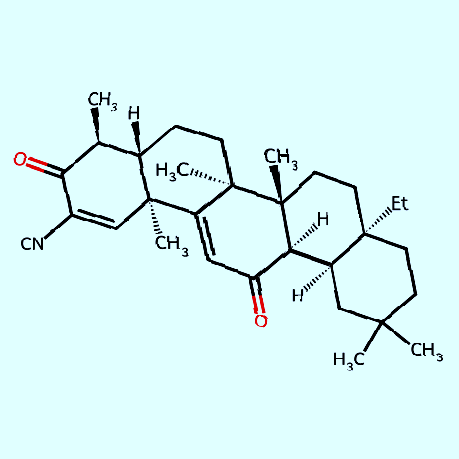 [C-]#[N+]C1=C[C@]2(C)C3=CC(=O)[C@@H]4[C@@H]5CC(C)(C)CC[C@]5(CC)CC[C@@]4(C)[C@]3(C)CC[C@H]2[C@H](C)C1=O